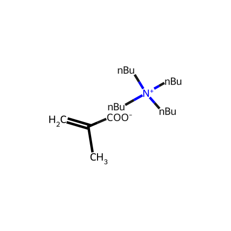 C=C(C)C(=O)[O-].CCCC[N+](CCCC)(CCCC)CCCC